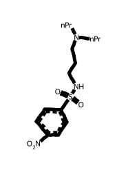 CCCN(CCC)CCCNS(=O)(=O)c1ccc([N+](=O)[O-])cc1